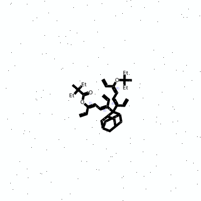 C=C/C(=C\C=C(/C=C)C1(/C(C=C)=C/C=C(\C=C)OC(C)(CC)CC)C2CC3CC(C2)CC1C3)OC(=O)C(C)(CC)CC